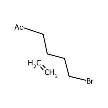 C=C.CC(=O)CCCCBr